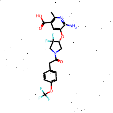 Cc1nc(N)c(OC2CN(C(=O)Cc3ccc(OC(F)(F)F)cc3)CC2(F)F)cc1C(=O)O